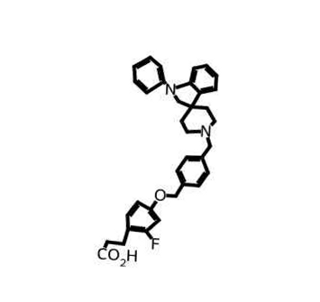 O=C(O)CCc1ccc(OCc2ccc(CN3CCC4(CC3)CN(c3ccccc3)c3ccccc34)cc2)cc1F